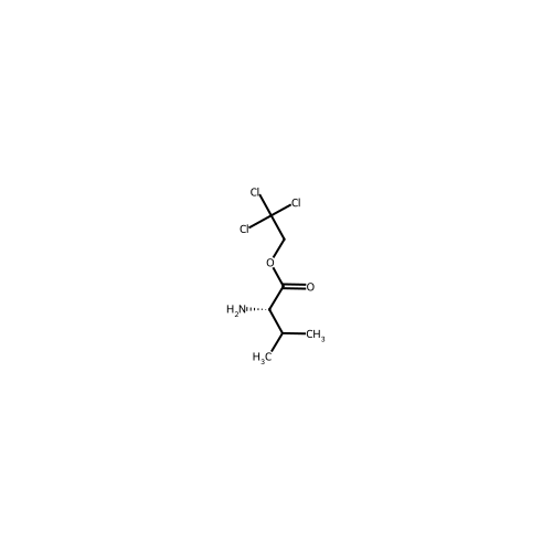 CC(C)[C@H](N)C(=O)OCC(Cl)(Cl)Cl